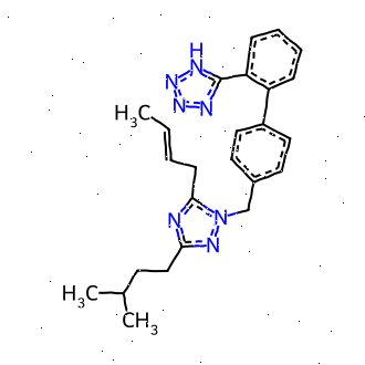 CC=CCc1nc(CCC(C)C)nn1Cc1ccc(-c2ccccc2-c2nnn[nH]2)cc1